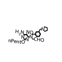 CCCCCOc1nc(N)c(N=O)c(N(CC=O)Cc2cccc(CN3CCCC3)c2)n1